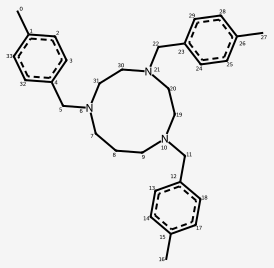 Cc1ccc(CN2CCCN(Cc3ccc(C)cc3)CCN(Cc3ccc(C)cc3)CC2)cc1